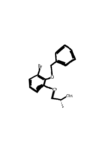 C[C@@H](O)COc1cccc(Br)c1OCc1ccccc1